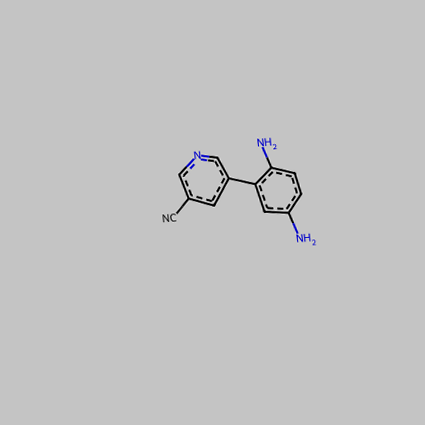 N#Cc1cncc(-c2cc(N)ccc2N)c1